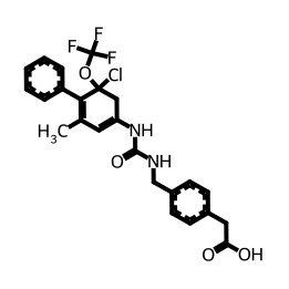 CC1=C(c2ccccc2)C(Cl)(OC(F)(F)F)CC(NC(=O)NCc2ccc(CC(=O)O)cc2)=C1